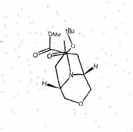 COC(=O)C1(C)C[C@H]2COC[C@@H](C1)N2C(=O)OC(C)(C)C